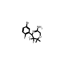 CC1(C)OCC(N)=N[C@](C)(c2cc(Br)ccc2F)C1(F)F